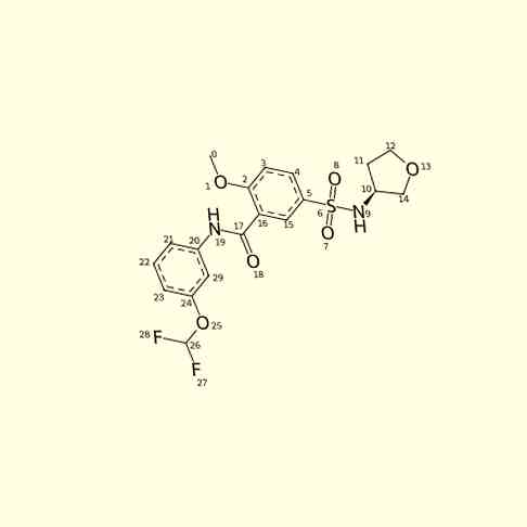 COc1ccc(S(=O)(=O)N[C@H]2CCOC2)cc1C(=O)Nc1cccc(OC(F)F)c1